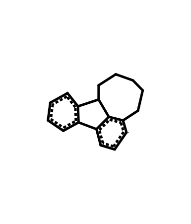 [c]1ccc2c3c1CCCCCC3c1ccccc1-2